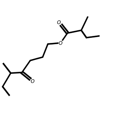 CCC(C)C(=O)CCCOC(=O)C(C)CC